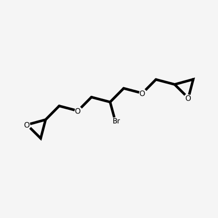 BrC(COCC1CO1)COCC1CO1